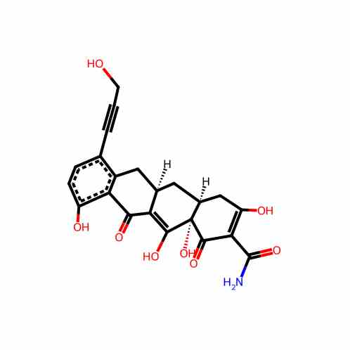 NC(=O)C1=C(O)C[C@@H]2C[C@@H]3Cc4c(C#CCO)ccc(O)c4C(=O)C3=C(O)[C@]2(O)C1=O